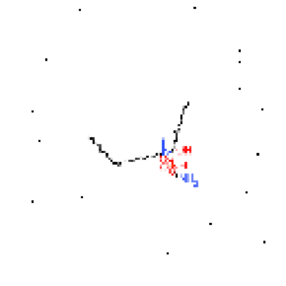 CCCCCCC/C=C/C=C/[C@@H](O)[C@H](COP(=O)(O)OCCN)NC(=O)CCCCCCCCC/C=C\CCCCCCCC